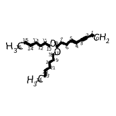 C=CC#C/C=C/CCC(OCCCCCCC)OCCCCCCC